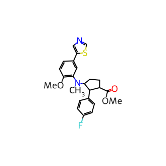 COC(=O)C1CCC(N(C)c2cc(-c3cncs3)ccc2OC)C1c1ccc(F)cc1